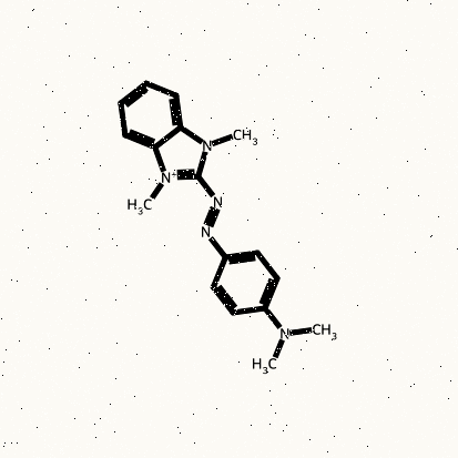 CN(C)c1ccc(N=Nc2n(C)c3ccccc3[n+]2C)cc1